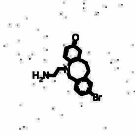 NCCN1Cc2ccc(Br)cc2CCC2=C1C=CC(=O)C2